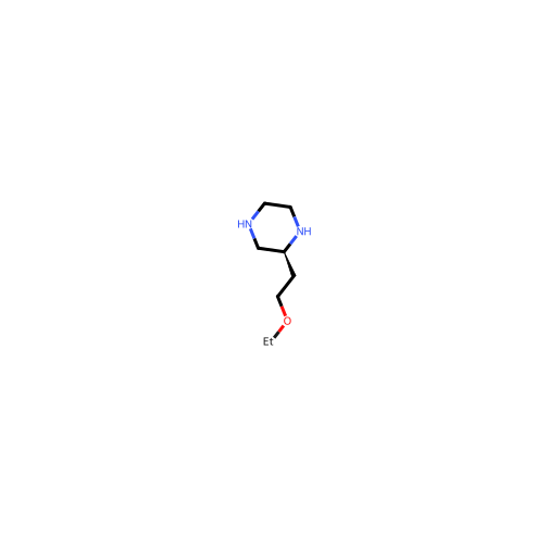 CCOCC[C@H]1CNCCN1